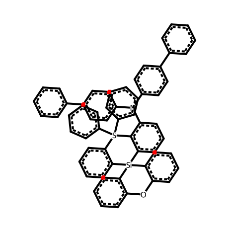 c1ccc(-c2ccc(N(c3ccc(-c4ccccc4)cc3)c3cccc4c3S(c3ccccc3)(c3ccccc3)c3ccccc3[Si]43c4ccccc4Oc4ccccc43)cc2)cc1